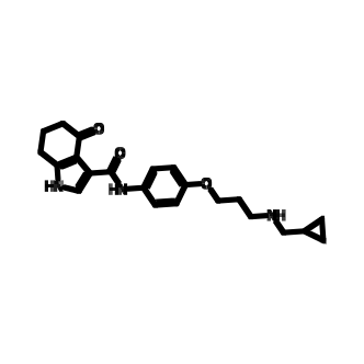 O=C(Nc1ccc(OCCCNCC2CC2)cc1)c1c[nH]c2c1C(=O)CCC2